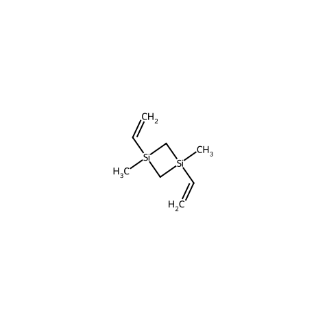 C=C[Si]1(C)C[Si](C)(C=C)C1